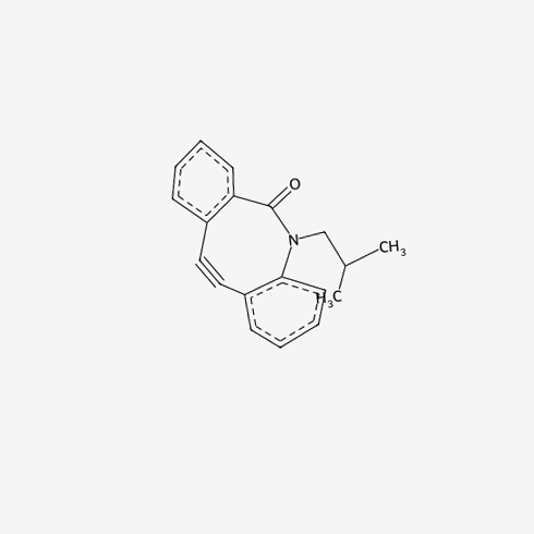 CC(C)CN1C(=O)c2ccccc2C#Cc2ccccc21